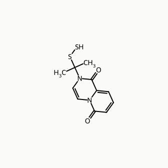 CC(C)(SS)n1ccn2c(=O)cccc2c1=O